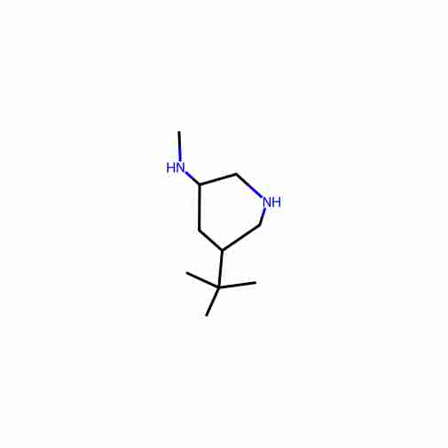 CNC1CNCC(C(C)(C)C)C1